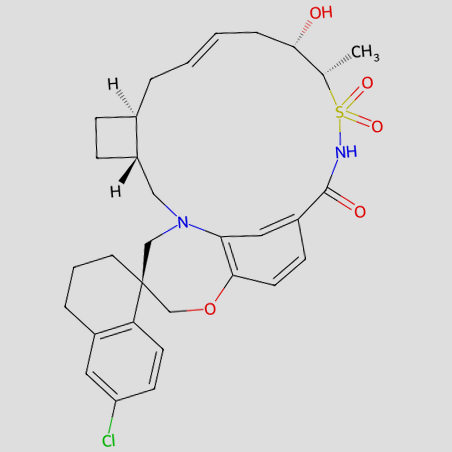 C[C@H]1[C@@H](O)C/C=C/C[C@@H]2CC[C@H]2CN2C[C@@]3(CCCc4cc(Cl)ccc43)COc3ccc(cc32)C(=O)NS1(=O)=O